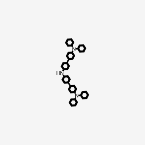 c1ccc(N(c2ccccc2)c2ccc(-c3ccc(Nc4ccc(-c5ccc(N(c6ccccc6)c6ccccc6)cc5)cc4)cc3)cc2)cc1